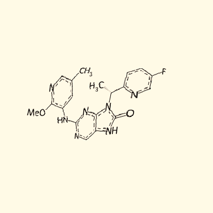 COc1ncc(C)cc1Nc1ncc2[nH]c(=O)n([C@H](C)c3ccc(F)cn3)c2n1